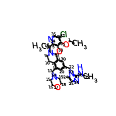 CCOc1cc([C@H](C)N2CCc3c(CN4CCOCC4)cc(Cn4ccnc4NC)cc3C2=O)ncc1Cl